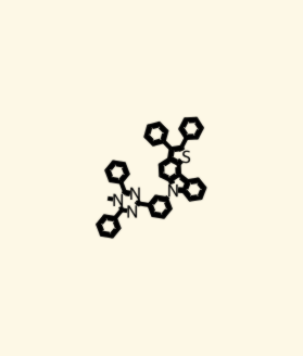 CN1C(c2ccccc2)=NC(c2cccc(-n3c4ccccc4c4c5sc(-c6ccccc6)c(-c6ccccc6)c5ccc43)c2)=NC1c1ccccc1